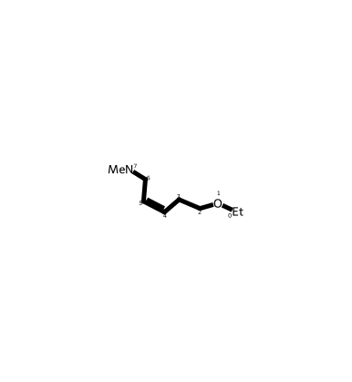 CCOCC/C=C\CNC